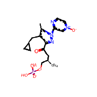 Cc1c(CC2CC2)c(C(=O)C[C@H](COP(=O)(O)O)C(C)(C)C)nn1-c1c[n+]([O-])ccn1